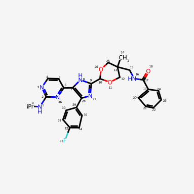 CC(C)Nc1nccc(-c2[nH]c(C3OCC(C)(CNC(=O)c4ccccc4)CO3)nc2-c2ccc(F)cc2)n1